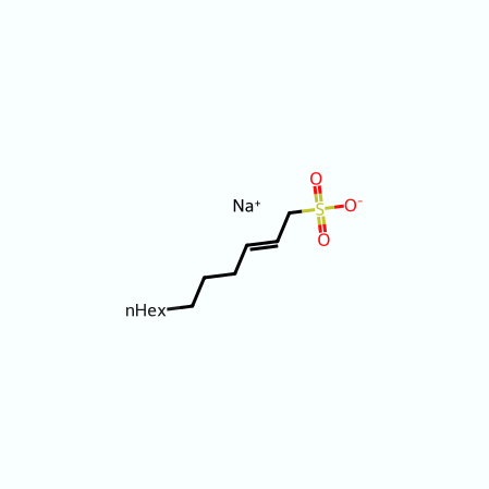 CCCCCCCCC/C=C/CS(=O)(=O)[O-].[Na+]